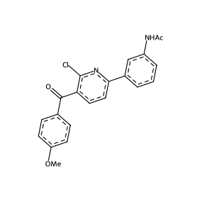 COc1ccc(C(=O)c2ccc(-c3cccc(NC(C)=O)c3)nc2Cl)cc1